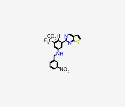 O=C(O)c1c(-c2ncc3ccsc3n2)cc(NCc2cccc([N+](=O)[O-])c2)cc1C(F)(F)F